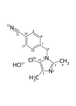 Cc1nc(C)n(Cc2ccc(C#N)cc2)c1Cl.Cl